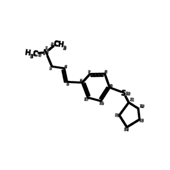 CN(C)CC=Cc1ccc(SC2CCCC2)cc1